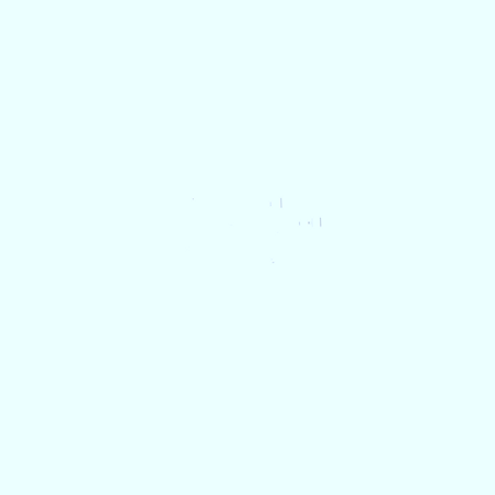 C=C(C)C(=O)O.C=CCOC(=O)C(=C)C.Cl